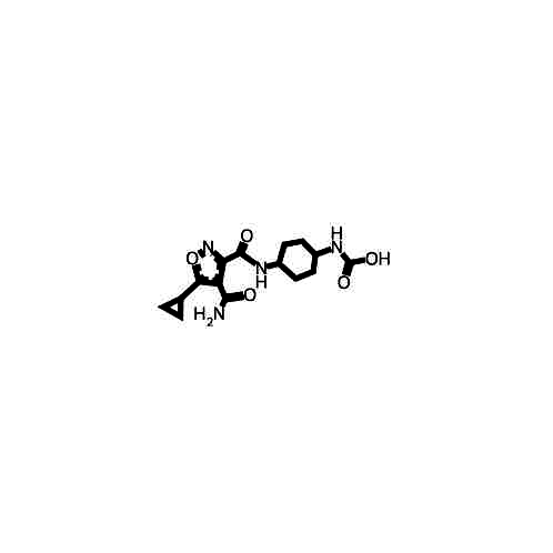 NC(=O)c1c(C(=O)NC2CCC(NC(=O)O)CC2)noc1C1CC1